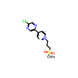 C=[N+](/C=C\C(=C/C)c1cnc(Cl)cn1)CCCS(=O)(=O)OC